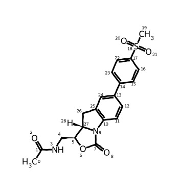 CC(=O)NC[C@@H]1OC(=O)N2c3ccc(-c4ccc(S(C)(=O)=O)cc4)cc3C[C@@H]12